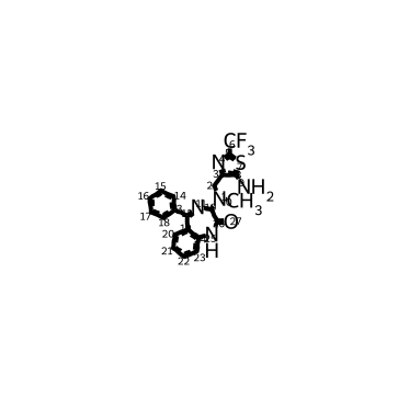 CN(Cc1nc(C(F)(F)F)sc1N)C1N=C(c2ccccc2)c2ccccc2NC1=O